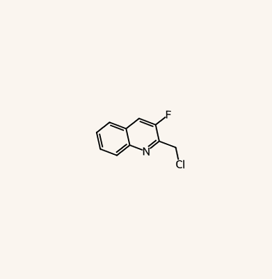 Fc1cc2ccccc2nc1CCl